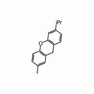 Cc1ccc2c(c1)Cc1ccc(C(C)C)cc1O2